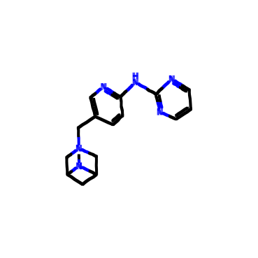 CN1C2CC1CN(Cc1ccc(Nc3ncccn3)nc1)C2